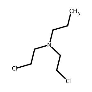 CCCN(CCCl)CCCl